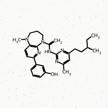 C=C(Nc1nc(C)cc(CCC(C)CC)n1)N1CCCN(C)c2ccc(-c3cccc(O)c3)nc21